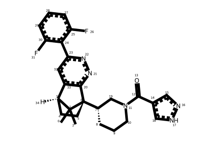 CC1(C)[C@H]2CC[C@]1([C@H]1CCCN(C(=O)c3cn[nH]c3)C1)c1nnc(-c3c(F)cccc3F)cc12